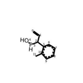 C=CC(PO)c1ccccc1C